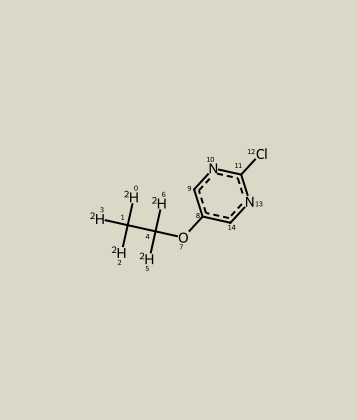 [2H]C([2H])([2H])C([2H])([2H])Oc1cnc(Cl)nc1